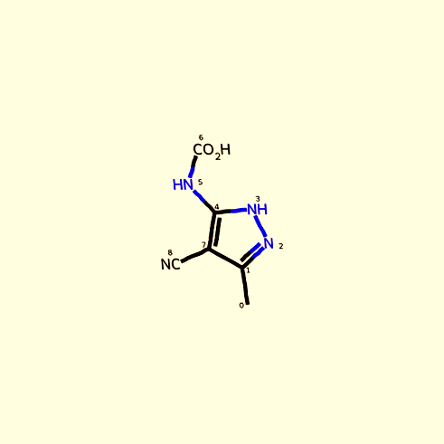 Cc1n[nH]c(NC(=O)O)c1C#N